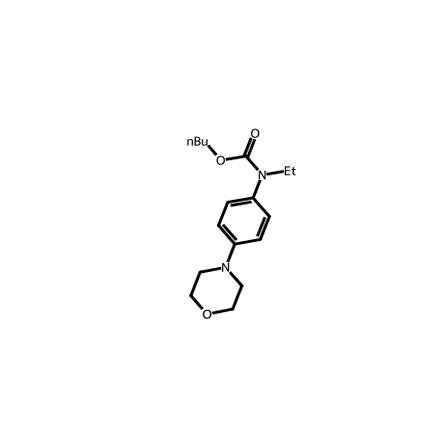 CCCCOC(=O)N(CC)c1ccc(N2CCOCC2)cc1